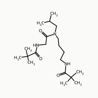 CC(C)CN(CCCCNC(=O)C(C)(C)C)C(=O)CNC(=O)C(C)(C)C